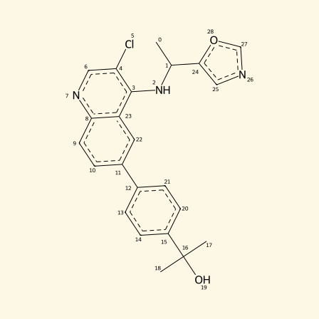 CC(Nc1c(Cl)cnc2ccc(-c3ccc(C(C)(C)O)cc3)cc12)c1cnco1